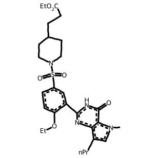 CCCc1cn(C)c2c(=O)[nH]c(-c3cc(S(=O)(=O)N4CCC(CCC(=O)OCC)CC4)ccc3OCC)nc12